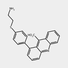 NCCSc1ccc(-c2cccc3nc4ccccc4c(C(=O)O)c23)cc1